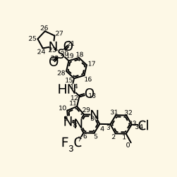 Cc1cc(-c2cc(C(F)(F)F)n3ncc(C(=O)Nc4cccc(S(=O)(=O)N5CCCC5)c4)c3n2)ccc1Cl